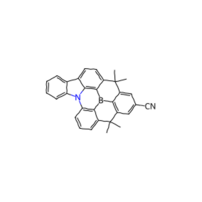 CC1(C)c2cccc3c2B2c4c1cc(C#N)cc4C(C)(C)c1ccc4c5ccccc5n-3c4c12